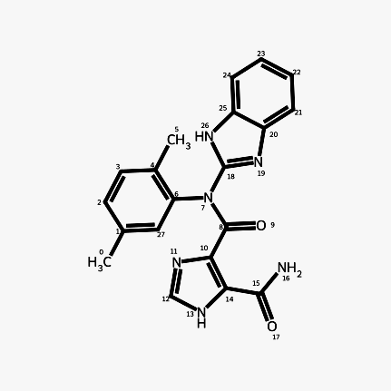 Cc1ccc(C)c(N(C(=O)c2nc[nH]c2C(N)=O)c2nc3ccccc3[nH]2)c1